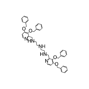 c1ccc(COc2ccnc(CNCCNCCNCc3nccc(OCc4ccccc4)c3OCc3ccccc3)c2OCc2ccccc2)cc1